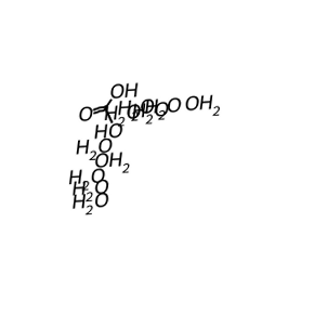 O.O.O.O.O.O.O.O.O.O.O=C(O)O